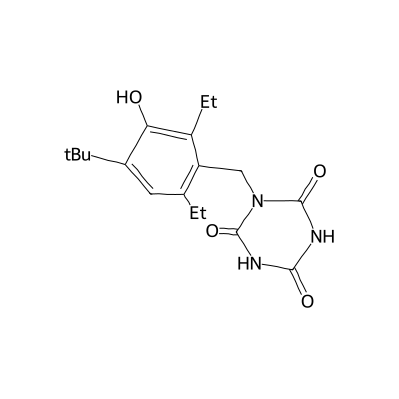 CCc1cc(C(C)(C)C)c(O)c(CC)c1Cn1c(=O)[nH]c(=O)[nH]c1=O